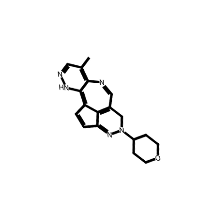 CC1=c2ncc3c4c(ccc-4c2NN=C1)=NN(C1CCOCC1)C3